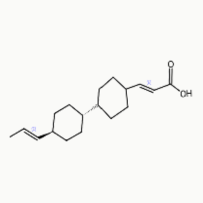 C/C=C/[C@H]1CC[C@H](C2CCC(/C=C/C(=O)O)CC2)CC1